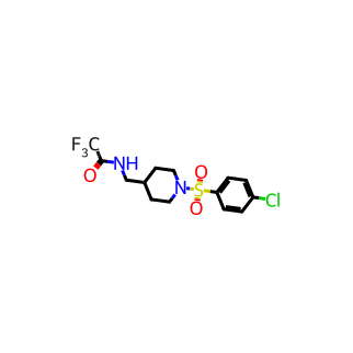 O=C(NCC1CCN(S(=O)(=O)c2ccc(Cl)cc2)CC1)C(F)(F)F